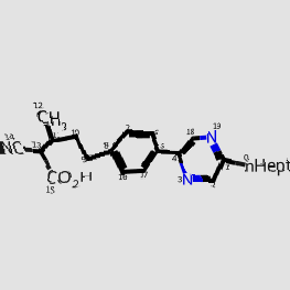 CCCCCCCc1cnc(-c2ccc(CCC(C)C(C#N)C(=O)O)cc2)cn1